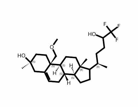 COC[C@]12CC[C@](C)(O)CC1=CC[C@@H]1[C@@H]2CC[C@]2(C)C([C@H](C)CCC(O)C(F)(F)F)CC[C@@H]12